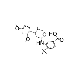 COc1ccc(C(CC(=O)Nc2cc(C(=O)O)ccc2C(C)(C)C)C(C)C)c(OC)c1